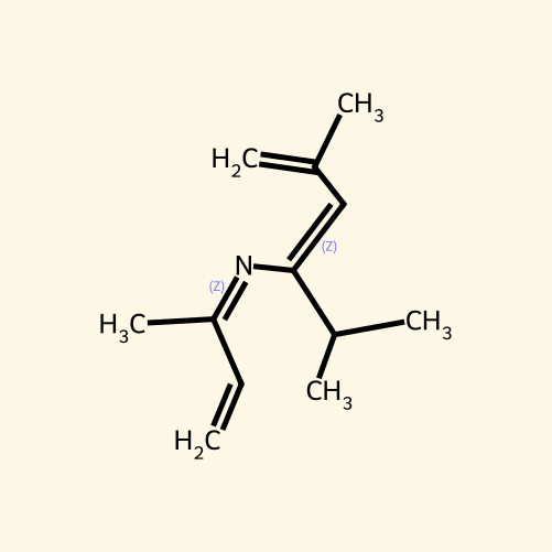 C=C/C(C)=N\C(=C/C(=C)C)C(C)C